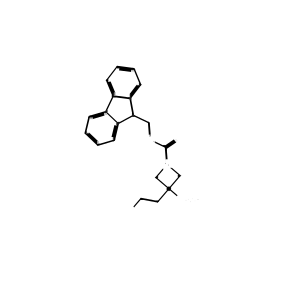 COC1(CCC(=O)O)CN(C(=O)OCC2c3ccccc3-c3ccccc32)C1